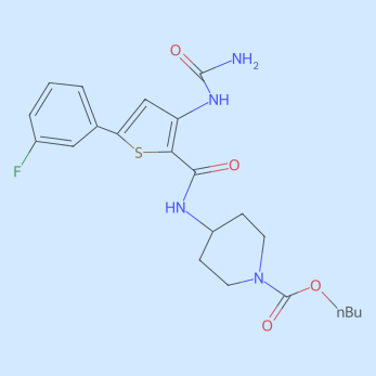 CCCCOC(=O)N1CCC(NC(=O)c2sc(-c3cccc(F)c3)cc2NC(N)=O)CC1